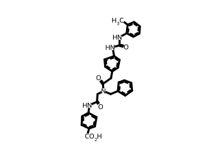 Cc1ccccc1NC(=O)Nc1ccc(CC(=O)N(CC(=O)Nc2ccc(C(=O)O)cc2)Cc2ccccc2)cc1